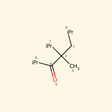 CC(C)CC(C)(C(=O)C(C)C)C(C)C